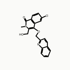 Cn1c(CO)c(OCc2ccc3ccccc3n2)c2cc(Cl)ccc2c1=O